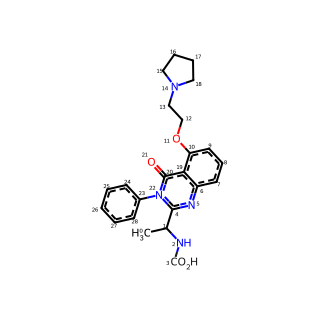 CC(NC(=O)O)c1nc2cccc(OCCN3CCCC3)c2c(=O)n1-c1ccccc1